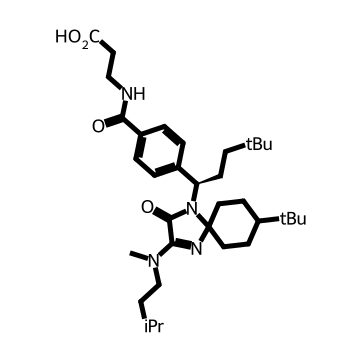 CC(C)CCN(C)C1=NC2(CCC(C(C)(C)C)CC2)N([C@H](CCC(C)(C)C)c2ccc(C(=O)NCCC(=O)O)cc2)C1=O